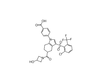 O=C(O)c1ccc(-n2cc(S(=O)(=O)c3c(Cl)cccc3C(F)(F)F)c3c2CCC(C(=O)N2CC(O)C2)C3)cc1